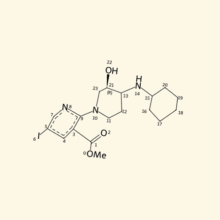 COC(=O)c1cc(I)cnc1N1CCC(NC2CCCCC2)[C@H](O)C1